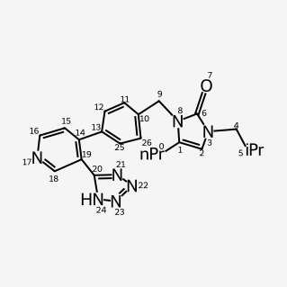 CCCc1cn(CC(C)C)c(=O)n1Cc1ccc(-c2ccncc2-c2nnn[nH]2)cc1